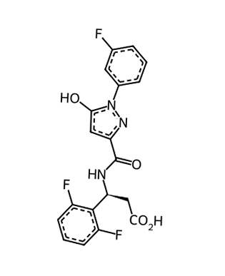 O=C(O)C[C@H](NC(=O)c1cc(O)n(-c2cccc(F)c2)n1)c1c(F)cccc1F